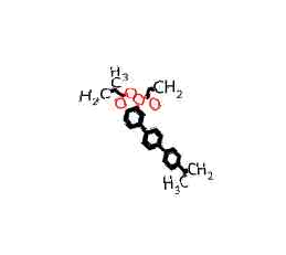 C=CC(=O)Oc1cc(-c2ccc(-c3ccc(C(=C)C)cc3)cc2)ccc1OC(=O)C(=C)C